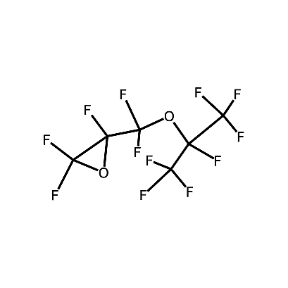 FC(F)(F)C(F)(OC(F)(F)C1(F)OC1(F)F)C(F)(F)F